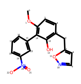 COc1ccc(Cc2ccno2)c(O)c1-c1cccc([N+](=O)[O-])c1